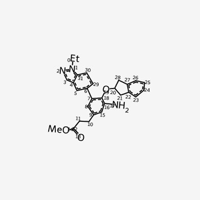 CCn1ncc2cc(-c3cc(CCC(=O)OC)cc(N)c3OC3Cc4ccccc4C3)ccc21